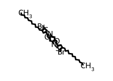 CCCCCCCCCCCCc1cc(-c2nc3cc4oc(-c5cc(CCCCCCCCCCCC)c(Br)s5)nc4cc3o2)sc1Br